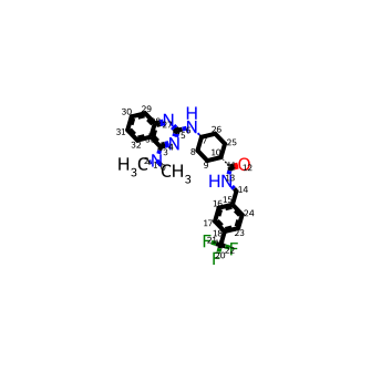 CN(C)c1nc(N[C@H]2CC[C@@H](C(=O)NCc3ccc(C(F)(F)F)cc3)CC2)nc2ccccc12